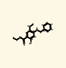 CCOC(=O)c1cc(OC)c(OCc2ccccc2)cc1I